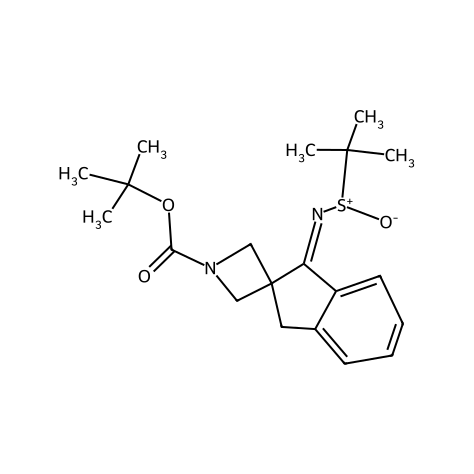 CC(C)(C)OC(=O)N1CC2(Cc3ccccc3C2=N[S+]([O-])C(C)(C)C)C1